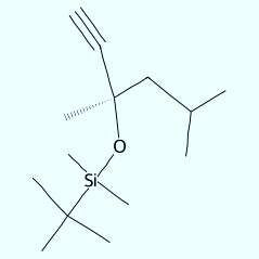 C#C[C@@](C)(CC(C)C)O[Si](C)(C)C(C)(C)C